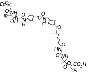 CCOC(C)(C)CC(=O)NC(C(=O)NCC(=O)Nc1ccc(COC(=O)NCc2ccc([C@H]3O[C@@H]3[C@@H](C)CC/C=C/C(=O)NCC(=O)NCC(C)(C)C(=O)O[C@@H](CC(C)C)C(=O)O)cc2)cc1)C(C)C